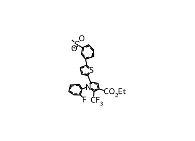 CCOC(=O)c1cc(-c2ccc(-c3cccc(S(C)(=O)=O)c3)s2)n(-c2ccccc2F)c1C(F)(F)F